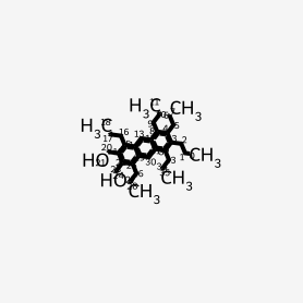 CCCc1c(CCC)c(CCC)c2cc3c(CCC)c(CO)c(CO)c(CCC)c3cc2c1CCC